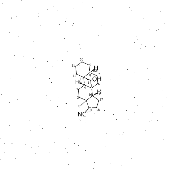 CC12CC[C@H]3C(CC[C@H]4CCCCC43CO)[C@@H]1CCC2C#N